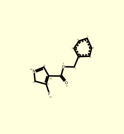 O=C(OCc1ccccc1)C1=C(F)CN=C1